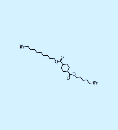 CC(C)CCCCCCCCCOC(=O)C1CCC(C(=O)OCCCCCC(C)C)CC1